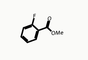 [CH2]OC(=O)c1ccccc1F